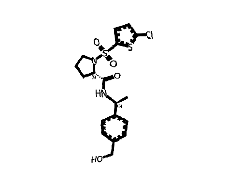 C[C@H](NC(=O)[C@@H]1CCCN1S(=O)(=O)c1ccc(Cl)s1)c1ccc(CO)cc1